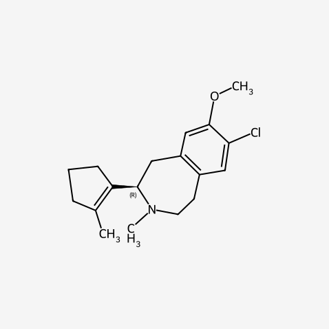 COc1cc2c(cc1Cl)CCN(C)[C@@H](C1=C(C)CCC1)C2